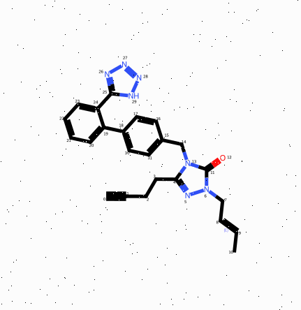 C#CCCc1nn(C/C=C/C)c(=O)n1Cc1ccc(-c2ccccc2-c2nnn[nH]2)cc1